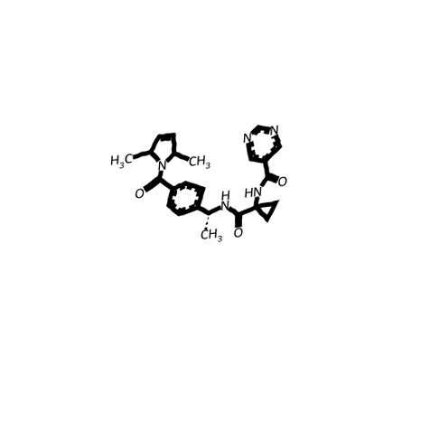 CC1C=CC(C)N1C(=O)c1ccc([C@@H](C)NC(=O)C2(NC(=O)c3cncnc3)CC2)cc1